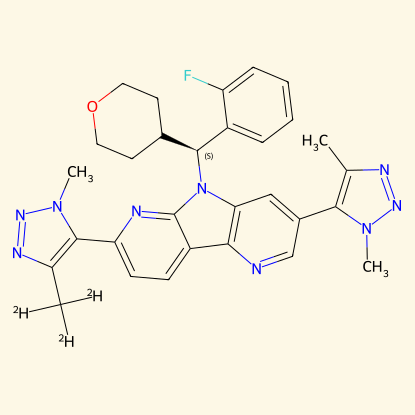 [2H]C([2H])([2H])c1nnn(C)c1-c1ccc2c3ncc(-c4c(C)nnn4C)cc3n([C@H](c3ccccc3F)C3CCOCC3)c2n1